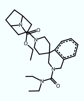 CCOC(=O)N1C2CCC1CC(N1CCC3(CC1)CN(C(=O)N(CC)CC)Cc1ccccc13)C2